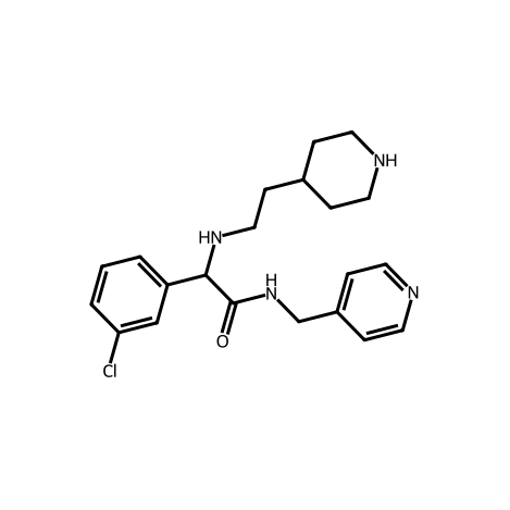 O=C(NCc1ccncc1)C(NCCC1CCNCC1)c1cccc(Cl)c1